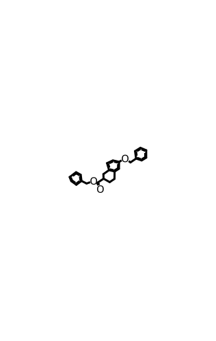 O=C(OCc1ccccc1)C1CCc2cc(OCc3ccccc3)ccc2C1